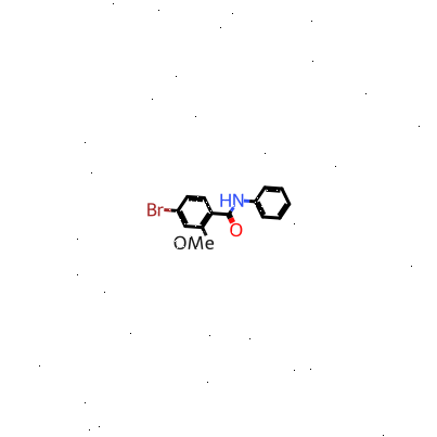 COc1cc(Br)ccc1C(=O)Nc1ccccc1